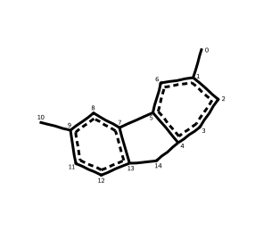 Cc1ccc2c(c1)-c1cc(C)ccc1C2